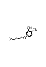 N#Cc1ccc(OCCCCBr)cc1C#N